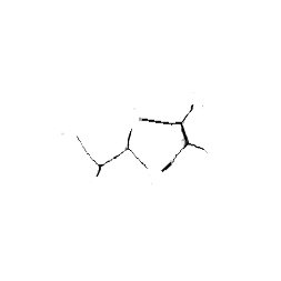 CCCC(C)C1OC(C)C(C)O1